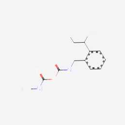 CCC(C)c1ccccc1CNC(=O)OC(=O)NC